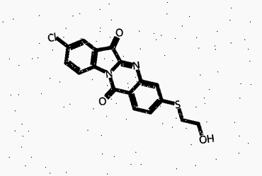 O=C1c2cc(Cl)ccc2-n2c1nc1cc(SCCO)ccc1c2=O